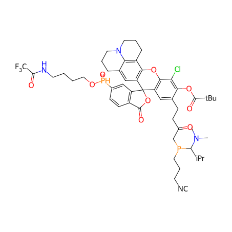 [C-]#[N+]CCCP(CC(=O)CCc1cc2c(c(Cl)c1OC(=O)C(C)(C)C)Oc1c(cc3c4c1CCCN4CCC3)C21OC(=O)c2ccc([PH](=O)OCCCCNC(=O)C(F)(F)F)cc21)C(C(C)C)N(C)C